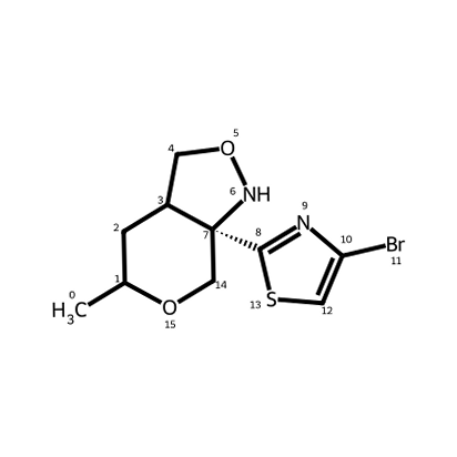 CC1CC2CON[C@@]2(c2nc(Br)cs2)CO1